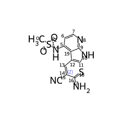 CS(=O)(=O)Nc1ccnc2[nH]cc(/C=C(/C#N)C(N)=S)c12